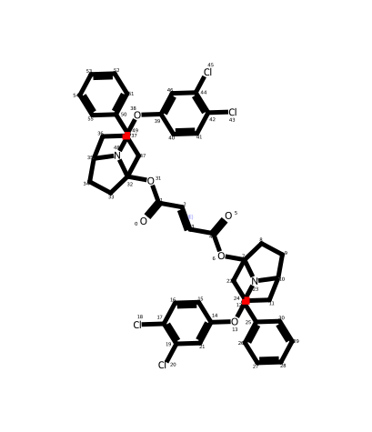 O=C(/C=C/C(=O)OC12CCC(CC(Oc3ccc(Cl)c(Cl)c3)C1)N2Cc1ccccc1)OC12CCC(CC(Oc3ccc(Cl)c(Cl)c3)C1)N2Cc1ccccc1